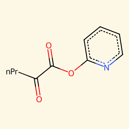 CCCC(=O)C(=O)Oc1ccccn1